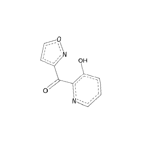 O=C(c1ccon1)c1ncccc1O